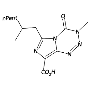 CCCCCC(C)Cc1nc(C(=O)O)c2nnn(C)c(=O)n12